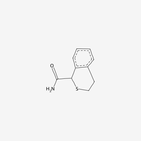 NC(=O)C1SCCc2ccccc21